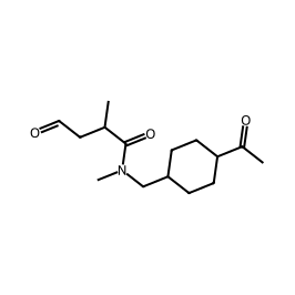 CC(=O)C1CCC(CN(C)C(=O)C(C)CC=O)CC1